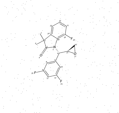 CC1(C)C(=O)N([C@@H](c2cc(F)cc(F)c2)[C@H]2CO2)c2c(F)cccc21